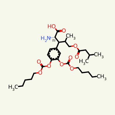 CCCCCOC(=O)Oc1ccc(C(C(C)COC(=O)CC(C)C)[C@H](N)C(=O)O)cc1OC(=O)OCCCCC